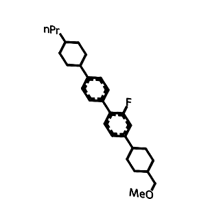 CCCC1CCC(c2ccc(-c3ccc(C4CCC(COC)CC4)cc3F)cc2)CC1